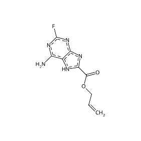 C=CCOC(=O)c1nc2nc(F)nc(N)c2[nH]1